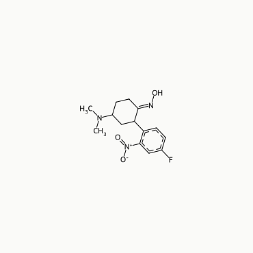 CN(C)C1CC/C(=N\O)C(c2ccc(F)cc2[N+](=O)[O-])C1